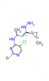 C=C(/C=C(\NN)[C@H]1C[C@@H]1C)Nc1nc(Br)ncc1Cl